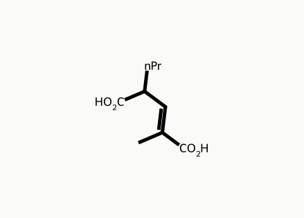 CCCC(C=C(C)C(=O)O)C(=O)O